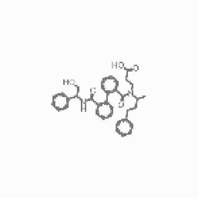 CC(CCc1ccccc1)N(CCC(=O)O)C(=O)c1ccccc1-c1ccccc1C(=O)NC(CO)c1ccccc1